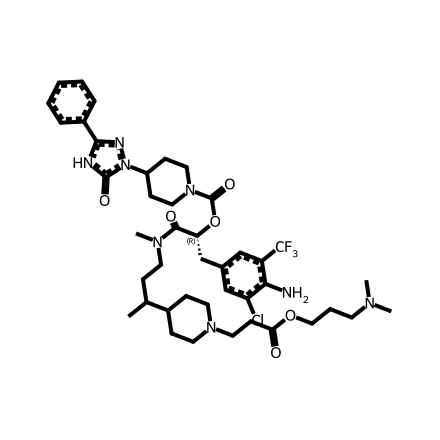 CC(CCN(C)C(=O)[C@@H](Cc1cc(Cl)c(N)c(C(F)(F)F)c1)OC(=O)N1CCC(n2nc(-c3ccccc3)[nH]c2=O)CC1)C1CCN(CCC(=O)OCCCN(C)C)CC1